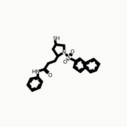 O=C(CCC1CC(S)CN1S(=O)(=O)c1ccc2ccccc2c1)Nc1ccccc1